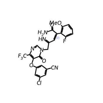 COc1cccc(F)c1/C(=C/C(=N)Cn1cnc(C(F)(F)F)c(Oc2cc(Cl)cc(C#N)c2)c1=O)C(N)=O